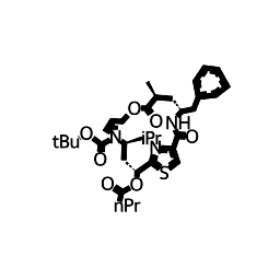 C=CCOC(=O)[C@@H](C)C[C@H](Cc1ccccc1)NC(=O)c1csc([C@@H](C[C@H](C(C)C)N(C)C(=O)OC(C)(C)C)OC(=O)CCC)n1